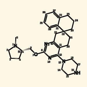 CN1CCC[C@H]1COc1nc2c(c(N3CCNCC3)n1)CCC1(CCCc3ccccc31)C2